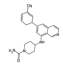 N#CC1=CC(c2cc(NC3CCN(C(N)=O)CC3)c3cnccc3c2)CC=C1